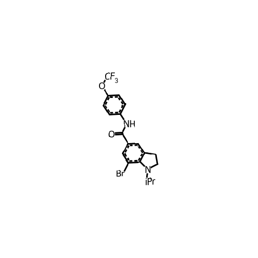 CC(C)N1CCc2cc(C(=O)Nc3ccc(OC(F)(F)F)cc3)cc(Br)c21